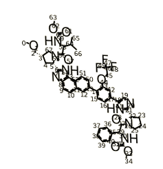 COC[C@H]1C[C@@H](c2nc3ccc4cc(-c5ccc(-c6cnc([C@@H]7CCCN7C(=O)[C@H](NC(=O)OC)c7ccccc7)[nH]6)cc5OCC(F)(F)F)ccc4c3[nH]2)N(C(=O)[C@@H](NC(=O)OC)C(C)C)C1